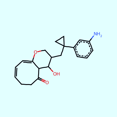 Nc1cccc(C2(CC3COC4=CC=CCCC(=O)C4C3O)CC2)c1